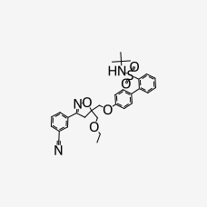 CCOCC1(COc2ccc(-c3ccccc3S(=O)(=O)NC(C)(C)C)cc2)CC(c2cccc(C#N)c2)=NO1